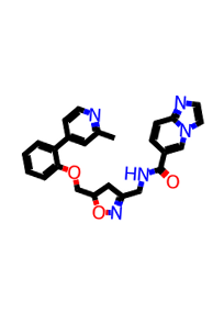 Cc1cc(-c2ccccc2OCC2CC(CNC(=O)c3ccc4nccn4c3)=NO2)ccn1